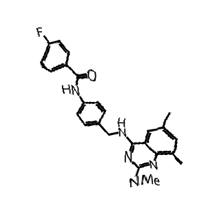 CNc1nc(NCc2ccc(NC(=O)c3ccc(F)cc3)cc2)c2cc(C)cc(C)c2n1